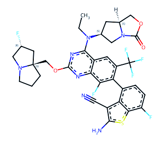 CCN(c1nc(OC[C@@]23CCCN2C[C@H](F)C3)nc2c(F)c(-c3ccc(F)c4sc(N)c(C#N)c34)c(C(F)(F)F)cc12)[C@H]1C[C@H]2COC(=O)N2C1